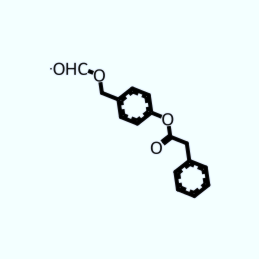 O=[C]OCc1ccc(OC(=O)Cc2ccccc2)cc1